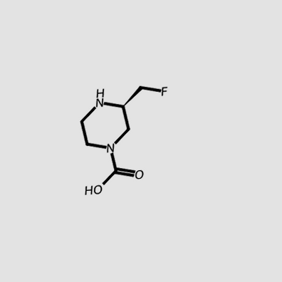 O=C(O)N1CCN[C@@H](CF)C1